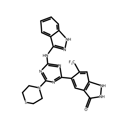 O=c1[nH][nH]c2cc(C(F)(F)F)c(-c3nc(Nc4n[nH]c5ccccc45)nc(N4CCSCC4)n3)cc12